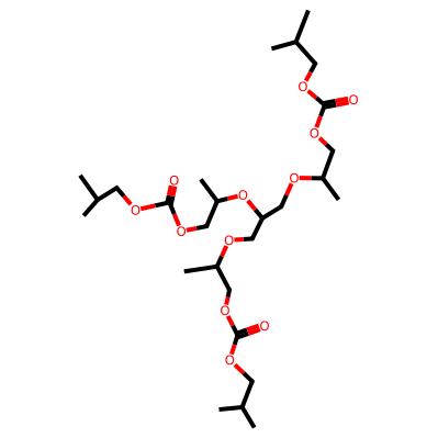 CC(C)COC(=O)OCC(C)OCC(COC(C)COC(=O)OCC(C)C)OC(C)COC(=O)OCC(C)C